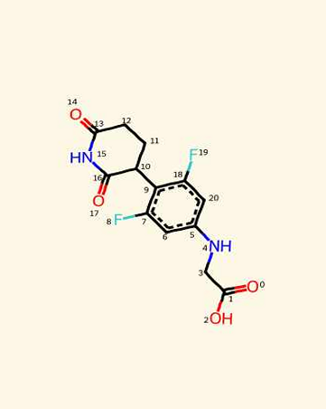 O=C(O)CNc1cc(F)c(C2CCC(=O)NC2=O)c(F)c1